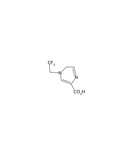 O=C(O)C1=CN(CC(F)(F)F)CC=N1